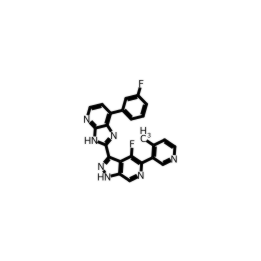 Cc1ccncc1-c1ncc2[nH]nc(-c3nc4c(-c5cccc(F)c5)ccnc4[nH]3)c2c1F